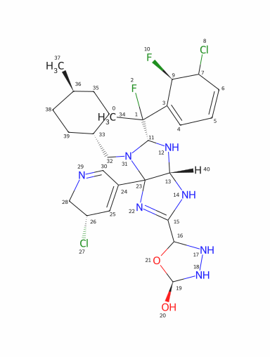 CC(F)(C1=CC=CC(Cl)[C@@H]1F)[C@@H]1N[C@@H]2NC(C3NN[C@@H](O)O3)=NC2(C2=C[C@H](Cl)CN=C2)N1C[C@H]1CC[C@H](C)CC1